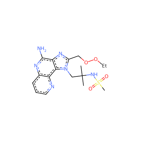 CCOOCc1nc2c(N)nc3cccnc3c2n1CC(C)(C)NS(C)(=O)=O